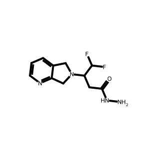 NNC(=O)CC(C(F)F)N1Cc2cccnc2C1